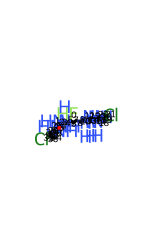 F.N=C(NCCCCCCNC(=N)NC(=N)Nc1ccc(Cl)cc1)NC(=N)Nc1ccc(Cl)cc1